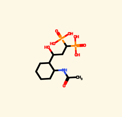 CC(=O)NC1CCCCC1C(O)CC(P(=O)(O)O)P(=O)(O)O